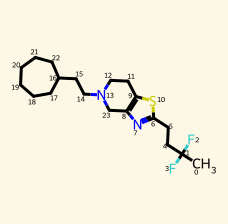 CC(F)(F)CCc1nc2c(s1)CCN(CCC1CCCCCC1)C2